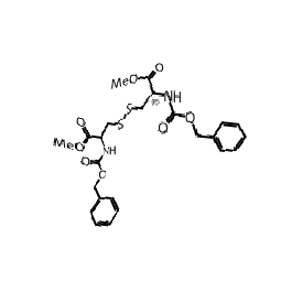 COC(=O)C(CSSC[C@H](NC(=O)OCc1ccccc1)C(=O)OC)NC(=O)OCc1ccccc1